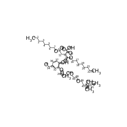 CCCCCCCCOC(=O)CC(C(=O)OCCCCCCCC)S(=O)(=O)O.CCOc1cc(C=O)ccc1O.CC[N+](C)(C)CCOCCOC